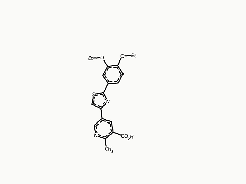 CCOc1ccc(-c2nc(-c3cnc(C)c(C(=O)O)c3)cs2)cc1OCC